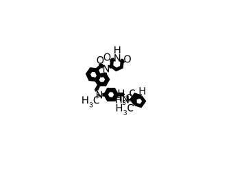 CN(Cc1ccc2c3c(cccc13)C(=O)N2C1CCC(=O)NC1=O)c1ccc(CN[C@H]2C[C@H]3CC[C@]2(C)C3(C)C)cc1